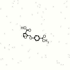 CC(=O)c1ccc(OCc2occc2C(=O)O)cc1